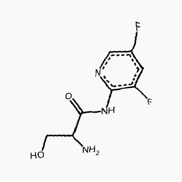 NC(CO)C(=O)Nc1ncc(F)cc1F